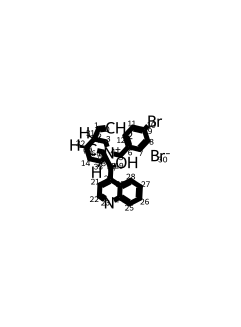 C=C[C@H]1C[N+]2(Cc3ccc(Br)cc3)CC[C@H]1C[C@@H]2[C@@H](O)c1ccnc2ccccc12.[Br-]